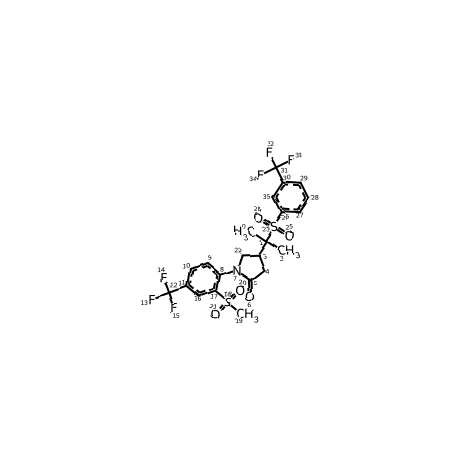 CC(C)(C1CC(=O)N(c2ccc(C(F)(F)F)cc2S(C)(=O)=O)C1)S(=O)(=O)c1cccc(C(F)(F)F)c1